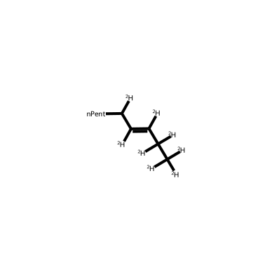 [2H]C(=C([2H])C([2H])([2H])C([2H])([2H])[2H])C([2H])CCCCC